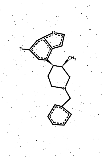 C[C@H]1CN(Cc2ccccc2)CC[C@H]1c1cc(F)cc2occc12